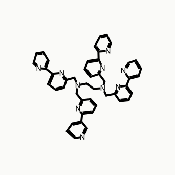 c1ccc(-c2cccc(CN(CCN(Cc3cccc(-c4ccccn4)n3)Cc3cccc(-c4ccccn4)n3)Cc3cccc(-c4cccnc4)n3)n2)nc1